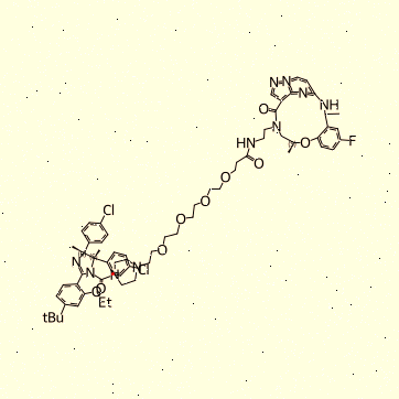 CCOc1cc(C(C)(C)C)ccc1C1=N[C@](C)(c2ccc(Cl)cc2)[C@](C)(c2ccc(Cl)cc2)N1C(=O)N1CCN(CCOCCOCCOCCOCCC(=O)NCCN2C[C@H](C)Oc3ccc(F)cc3C(C)Nc3ccn4ncc(c4n3)C2=O)CC1